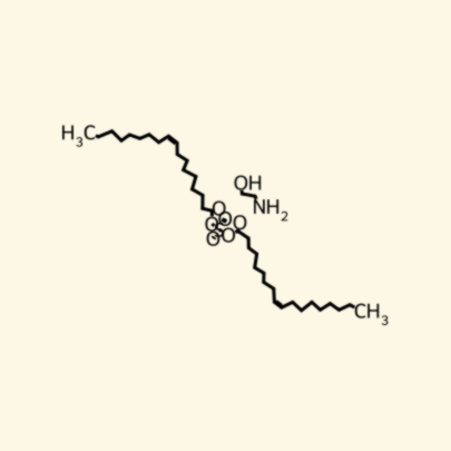 CCCCCCCC/C=C\CCCCCCCC(=O)OS(=O)(=O)OC(=O)CCCCCCC/C=C\CCCCCCCC.NCCO